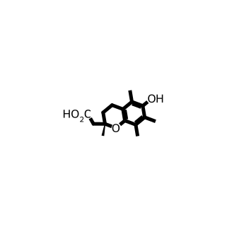 Cc1c(C)c2c(c(C)c1O)CC[C@@](C)(CC(=O)O)O2